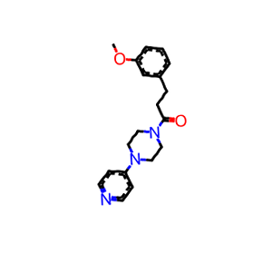 COc1cccc(CCC(=O)N2CCN(c3ccncc3)CC2)c1